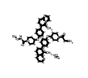 CCONC(=O)N1CCC(Oc2ccc(-c3ccc4nccn4c3C)cc2)CC1.Cc1c(-c2ccc(OC3CCN(C(=O)CN)CC3)cc2)ccc2cccnc12.Cl.Cl